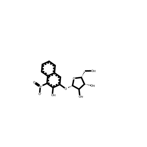 O=[N+]([O-])c1c(O)c(O[C@@H]2O[C@H](CO)[C@H](O)C2O)cc2ccccc12